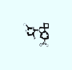 O=[N+]([O-])c1ccc2c(c1)N(c1nc(Cl)ncc1F)CC21CCC1